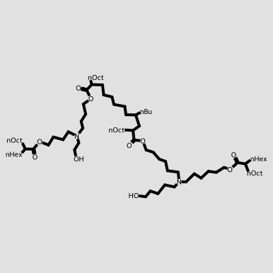 CCCCCCCCC(CCCCCC)C(=O)OCCCCCCN(CCCCCO)CCCCCCOC(=O)C(CCCCCCCC)CC(CCCC)CCCCCCC(CCCCCCCC)C(=O)OCCCCN(CCO)CCCCOC(=O)C(CCCCCC)CCCCCCCC